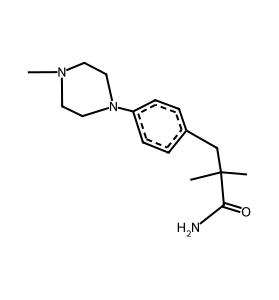 CN1CCN(c2ccc(CC(C)(C)C(N)=O)cc2)CC1